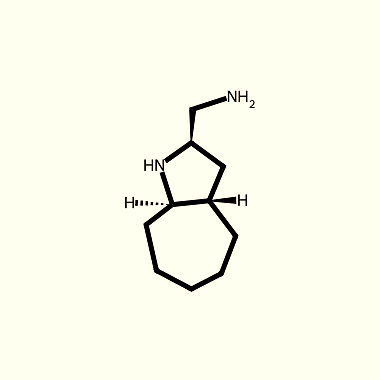 NC[C@H]1C[C@@H]2CCCCC[C@H]2N1